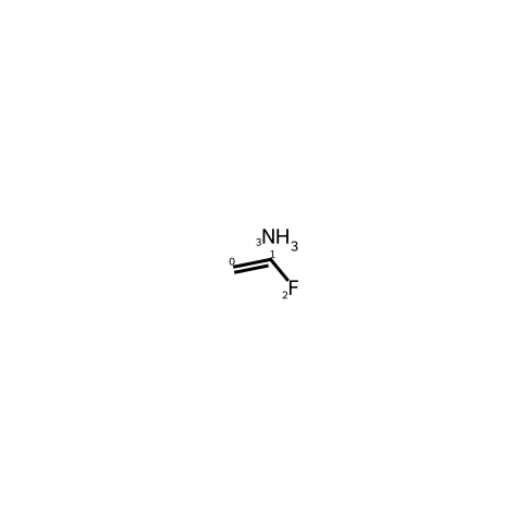 C=CF.N